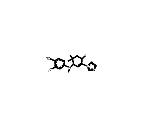 CN(c1ccc(C#N)c(C(F)(F)F)c1)C1C=C(n2ccnc2)C(F)CC1(C)C